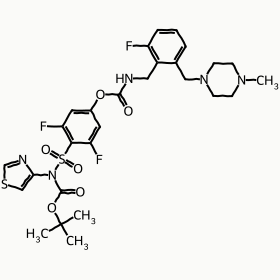 CN1CCN(Cc2cccc(F)c2CNC(=O)Oc2cc(F)c(S(=O)(=O)N(C(=O)OC(C)(C)C)c3cscn3)c(F)c2)CC1